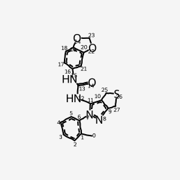 Cc1ccccc1-n1nc2c(c1NC(=O)Nc1ccc3c(c1)OCO3)CSC2